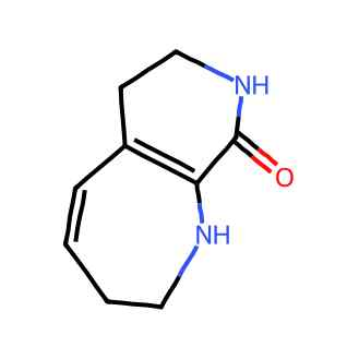 O=C1NCCC2=C1NCCC=C2